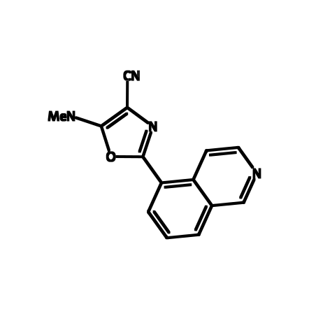 CNc1oc(-c2cccc3cnccc23)nc1C#N